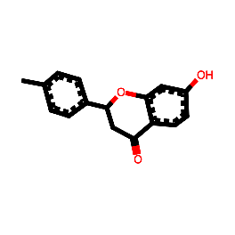 Cc1ccc(C2CC(=O)c3ccc(O)cc3O2)cc1